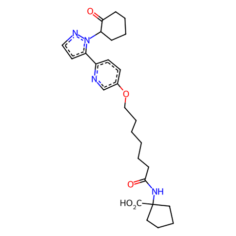 O=C(CCCCCCOc1ccc(-c2ccnn2C2CCCCC2=O)nc1)NC1(C(=O)O)CCCC1